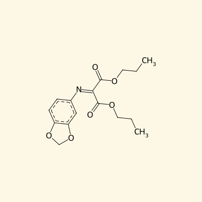 CCCOC(=O)C(=Nc1ccc2c(c1)OCO2)C(=O)OCCC